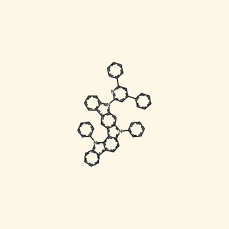 c1ccc(-c2cc(-c3ccccc3)nc(-n3c4ccccc4c4cc5c6c(ccc7c8ccccc8n(-c8ccccc8)c76)n(-c6ccccc6)c5cc43)c2)cc1